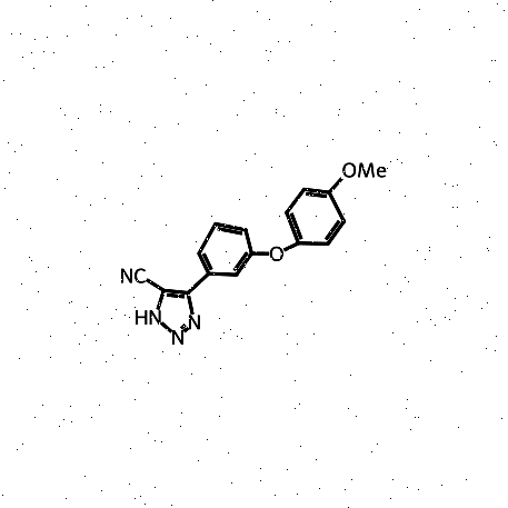 COc1ccc(Oc2cccc(-c3nn[nH]c3C#N)c2)cc1